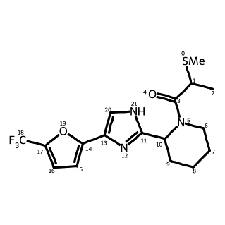 CSC(C)C(=O)N1CCCCC1c1nc(-c2ccc(C(F)(F)F)o2)c[nH]1